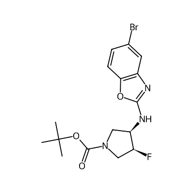 CC(C)(C)OC(=O)N1C[C@H](F)[C@H](Nc2nc3cc(Br)ccc3o2)C1